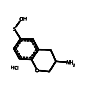 Cl.NC1COc2ccc(SO)cc2C1